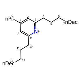 [CH2]CCc1cc(CCCCCCCCCCCCC)nc(CCCCCCCCCCCCC)c1